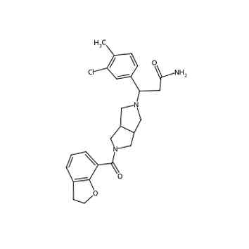 Cc1ccc(C(CC(N)=O)N2CC3CN(C(=O)c4cccc5c4OCC5)CC3C2)cc1Cl